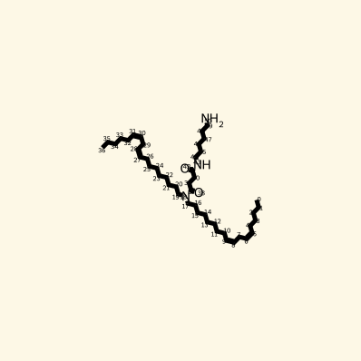 CCCCC/C=C\C/C=C\CCCCCCCCN(CCCCCCCC/C=C\C/C=C\CCCCC)C(=O)CCC(=O)NCCCCCCN